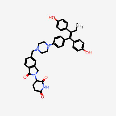 CCC(=C(c1ccc(O)cc1)c1ccc(N2CCN(Cc3ccc4c(c3)CN(C3CCC(=O)NC3=O)C4=O)CC2)cc1)c1ccc(O)cc1